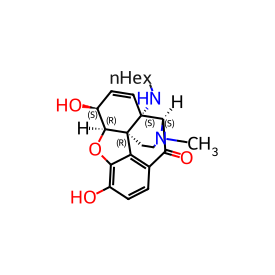 CCCCCCN[C@@]12C=C[C@H](O)[C@@H]3Oc4c(O)ccc5c4[C@@]31CCN(C)[C@@H]2C5=O